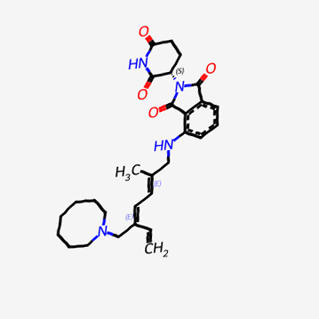 C=C/C(=C\C=C(/C)CNc1cccc2c1C(=O)N([C@H]1CCC(=O)NC1=O)C2=O)CN1CCCCCCC1